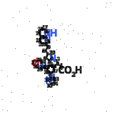 O=C(O)C[C@H](CN1CC[C@@H](CCc2ccc3c(n2)NCCC3)C1)c1cc(N2CCOCC2)cc(-n2cccn2)c1